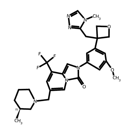 COc1cc(-n2cc3c(C(F)(F)F)cc(CN4CCC[C@H](C)C4)cn3c2=O)cc(C2(Cc3nncn3C)COC2)c1